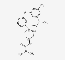 CC(OC[C@@]1(c2ccccc2)CC[C@H](NC(=O)N(C)C)CN1)c1cc(C(F)(F)F)cc(C(F)(F)F)c1